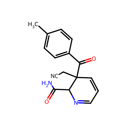 Cc1ccc(C(=O)C2(CC#N)C=CC=NC2C(N)=O)cc1